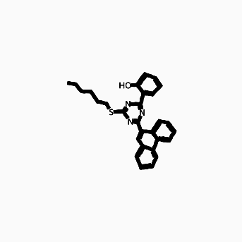 CCCCCCSc1nc(-c2ccccc2O)nc(-c2cc3ccccc3c3ccccc23)n1